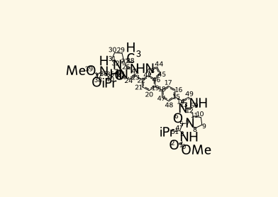 COC(=O)N[C@H](C(=O)N1CCC[C@H]1c1nc(-c2ccc(-c3ccc(-c4c[nH]c([C@]5(C)CCCN5C(=O)[C@@H](NC(=O)OC)C(C)C)n4)c4[nH]ccc34)cc2)c[nH]1)C(C)C